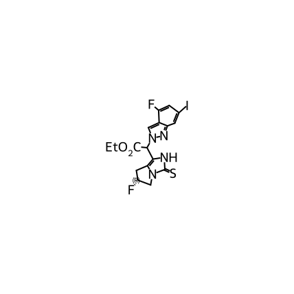 CCOC(=O)C(c1[nH]c(=S)n2c1C[C@@H](F)C2)n1cc2c(F)cc(I)cc2n1